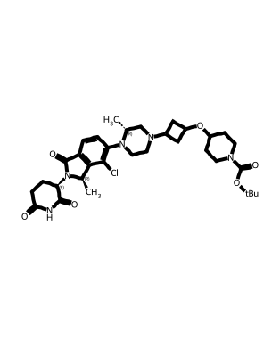 C[C@@H]1CN(C2CC(OC3CCN(C(=O)OC(C)(C)C)CC3)C2)CCN1c1ccc2c(c1Cl)[C@@H](C)N([C@@H]1CCC(=O)NC1=O)C2=O